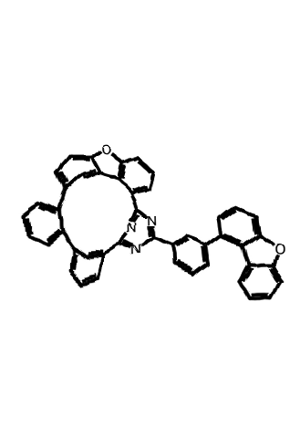 c1cc(-c2nc3nc(n2)c2cccc4oc5ccc(cc5c42)c2ccccc2c2cccc3c2)cc(-c2cccc3oc4ccccc4c23)c1